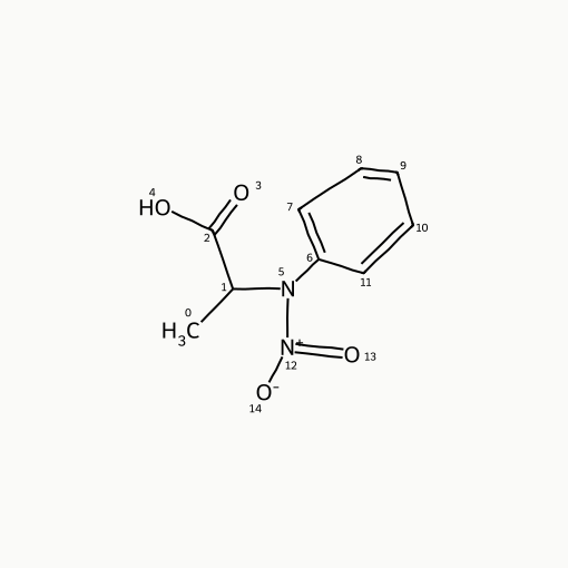 CC(C(=O)O)N(c1ccccc1)[N+](=O)[O-]